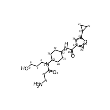 NCCC(=O)N(CCCO)C1CCC(NC(=O)c2cc(C3CC3)on2)CC1